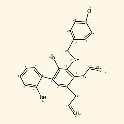 C=CCc1cc(-c2ccccc2O)c(O)c(NCc2ccc(Cl)cc2)c1CC=C